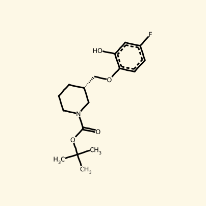 CC(C)(C)OC(=O)N1CCC[C@H](COc2ccc(F)cc2O)C1